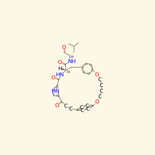 CC(C)C[C@@H](C=O)NC(=O)[C@@H]1Cc2ccc(cc2)OCCCCOc2ccc(cc2)CCC(=O)c2ccc([nH]2)C(=O)N1